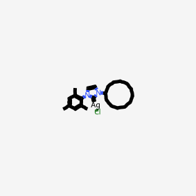 Cc1cc(C)c(-n2ccn(C3CCCCCCCCCCC3)[c]2=[Ag][Cl])c(C)c1